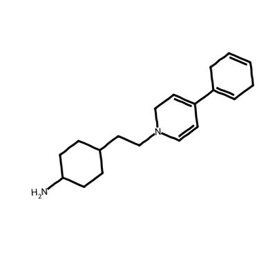 NC1CCC(CCN2C=CC(C3=CCC=CC3)=CC2)CC1